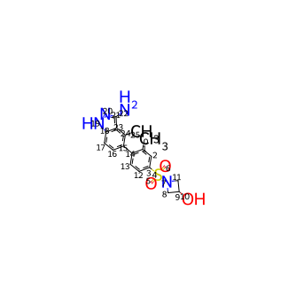 Cc1cc(S(=O)(=O)N2CC(O)C2)ccc1-c1ccc2[nH]nc(N)c2c1C